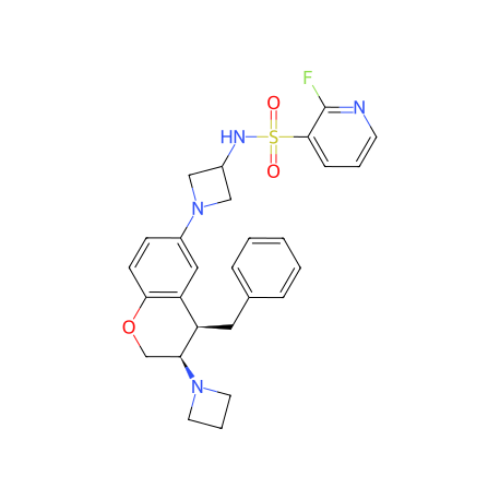 O=S(=O)(NC1CN(c2ccc3c(c2)[C@@H](Cc2ccccc2)[C@@H](N2CCC2)CO3)C1)c1cccnc1F